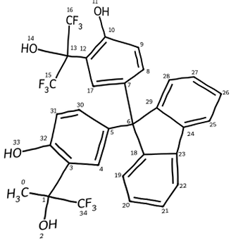 CC(O)(c1cc(C2(c3ccc(O)c(C(O)(C(F)(F)F)C(F)(F)F)c3)c3ccccc3-c3ccccc32)ccc1O)C(F)(F)F